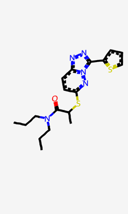 CCCN(CCC)C(=O)C(C)Sc1ccc2nnc(-c3cccs3)n2n1